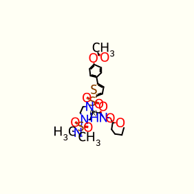 CC(=O)Oc1ccc(-c2ccc(S(=O)(=O)N3CCN(S(=O)(=O)N(C)C)C[C@@H]3C(=O)NOC3CCCCO3)s2)cc1